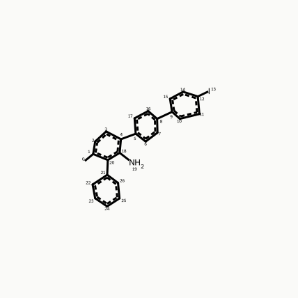 Cc1ccc(-c2ccc(-c3ccc(I)cc3)cc2)c(N)c1-c1ccccc1